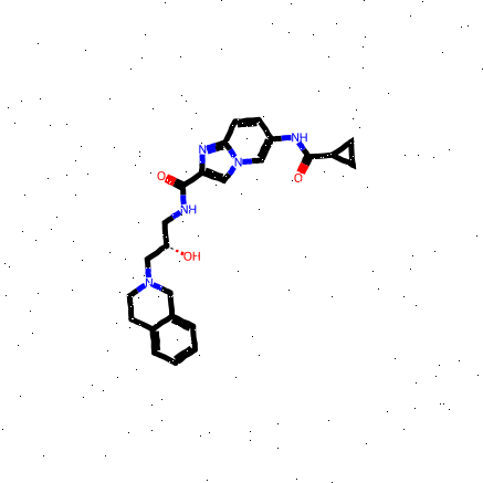 O=C(NC[C@H](O)CN1CCc2ccccc2C1)c1cn2cc(NC(=O)C3CC3)ccc2n1